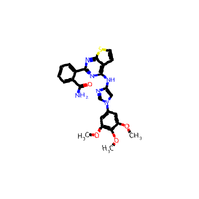 COc1cc(-n2cnc(Nc3nc(-c4ccccc4C(N)=O)nc4sccc34)c2)cc(OC)c1OC